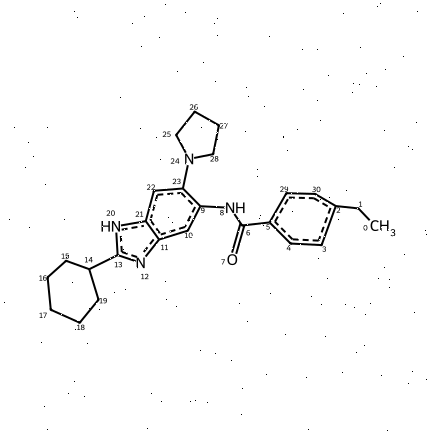 CCc1ccc(C(=O)Nc2cc3nc(C4CCCCC4)[nH]c3cc2N2CCCC2)cc1